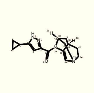 O=C(c1cc(C2CC2)[nH]n1)N1C2=CN3CC[C@@H]2C[C@@H]1C3